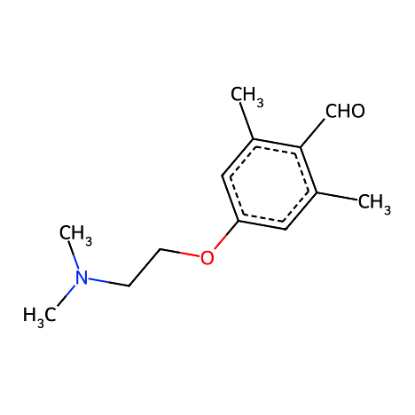 Cc1cc(OCCN(C)C)cc(C)c1C=O